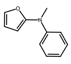 CN(c1ccccc1)c1ccco1